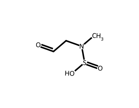 CN(CC=O)S(=O)O